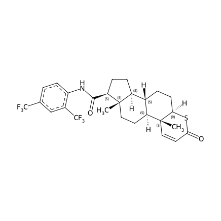 C[C@]12C=CC(=O)S[C@@H]1CC[C@@H]1[C@@H]2CC[C@]2(C)[C@@H](C(=O)Nc3ccc(C(F)(F)F)cc3C(F)(F)F)CC[C@@H]12